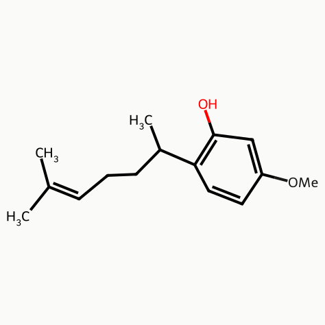 COc1ccc(C(C)CCC=C(C)C)c(O)c1